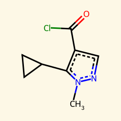 Cn1ncc(C(=O)Cl)c1C1CC1